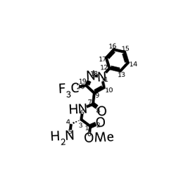 COC(=O)[C@H](CN)NC(=O)c1cn(-c2ccccc2)nc1C(F)(F)F